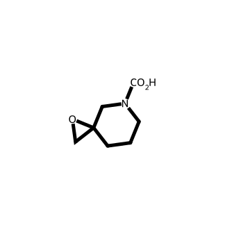 O=C(O)N1CCCC2(CO2)C1